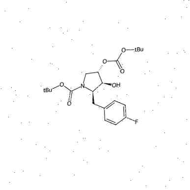 CC(C)(C)OC(=O)O[C@H]1CN(C(=O)OC(C)(C)C)[C@H](Cc2ccc(F)cc2)[C@@H]1O